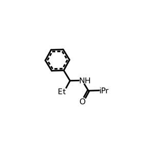 CCC(NC(=O)C(C)C)c1ccccc1